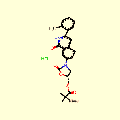 CNC(C)(C)C(=O)OC[C@H]1CN(c2ccc3cc(-c4ccccc4C(F)(F)F)[nH]c(=O)c3c2)C(=O)O1.Cl